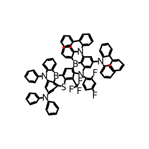 Fc1ccc(N2c3cc(N(c4ccccc4)c4ccccc4-c4ccccc4)cc4c3B(c3ccccc3N4c3ccccc3-c3ccccc3)c3cc4c(c(C(F)(F)F)c32)Sc2cc(N(c3ccccc3)c3ccccc3)cc3c2B4c2ccccc2N3c2ccccc2)c(F)c1